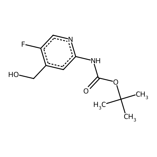 CC(C)(C)OC(=O)Nc1cc(CO)c(F)cn1